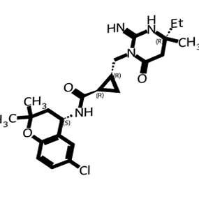 CC[C@]1(C)CC(=O)N(C[C@@H]2C[C@H]2C(=O)N[C@H]2CC(C)(C)Oc3ccc(Cl)cc32)C(=N)N1